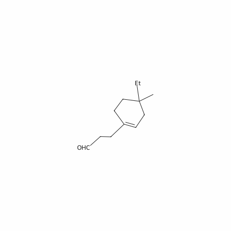 CCC1(C)CC=C(CCC=O)CC1